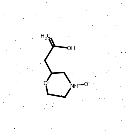 C=C(O)CC1C[NH+]([O-])CCO1